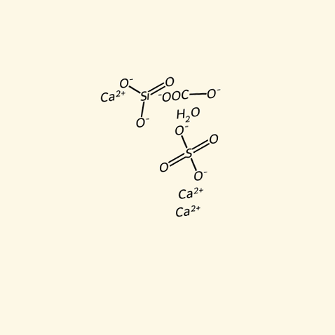 O.O=C([O-])[O-].O=S(=O)([O-])[O-].O=[Si]([O-])[O-].[Ca+2].[Ca+2].[Ca+2]